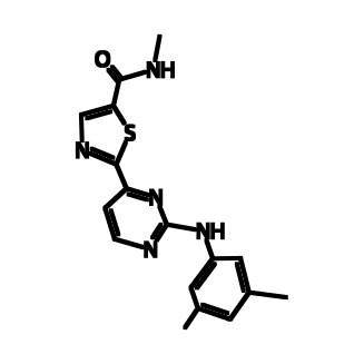 CNC(=O)c1cnc(-c2ccnc(Nc3cc(C)cc(C)c3)n2)s1